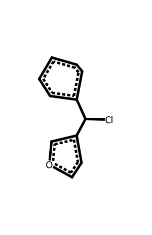 ClC(c1ccccc1)c1ccoc1